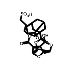 O=C(OCCCS(=O)(=O)O)c1c2c3oc1c(OC(=O)C14CC5CC(C1)C(=O)C(C5)C4)c3OC2O